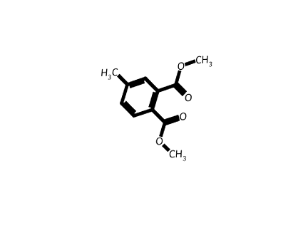 COC(=O)c1ccc(C)cc1C(=O)OC